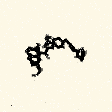 COc1ccc2ncc(F)c(C(F)CCC3(C(=O)O)CCN(CC#Cc4cccs4)CC3)c2c1